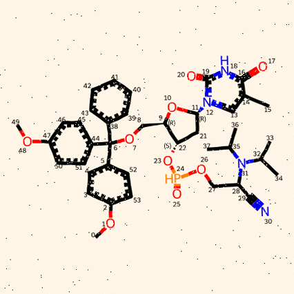 COc1ccc(C(OC[C@H]2O[C@@H](n3cc(C)c(=O)[nH]c3=O)C[C@@H]2O[PH](=O)OCC(C#N)N(C(C)C)C(C)C)(c2ccccc2)c2ccc(OC)cc2)cc1